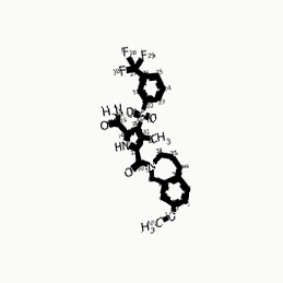 COc1ccc2c(c1)CN(C(=O)c1[nH]c(C(N)=O)c(S(=O)(=O)c3cccc(C(F)(F)F)c3)c1C)CCC2